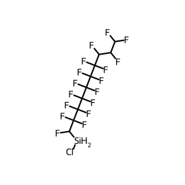 FC(F)C(F)C(F)C(F)(F)C(F)(F)C(F)(F)C(F)(F)C(F)(F)C(F)(F)C(F)[SiH2]Cl